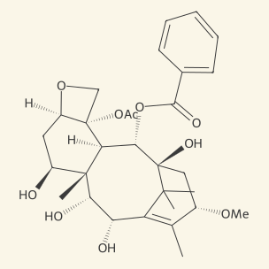 CO[C@H]1C[C@@]2(O)[C@@H](OC(=O)c3ccccc3)[C@@H]3[C@]4(OC(C)=O)CO[C@@H]4C[C@H](O)[C@@]3(C)[C@@H](O)[C@@H](O)C(=C1C)C2(C)C